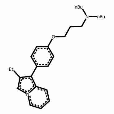 CCCCN(CCCC)CCCOc1ccc(-c2c(CC)[c]n3ccccc23)cc1